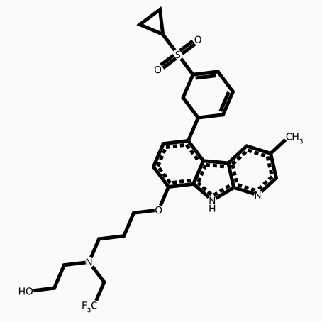 Cc1cnc2[nH]c3c(OCCCN(CCO)CC(F)(F)F)ccc(C4C=CC=C(S(=O)(=O)C5CC5)C4)c3c2c1